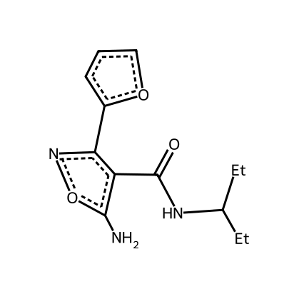 CCC(CC)NC(=O)c1c(-c2ccco2)noc1N